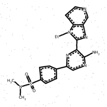 CCn1c(-c2nc(-c3ccc(S(=O)(=O)N(C)C)cc3)cnc2N)nc2cnccc21